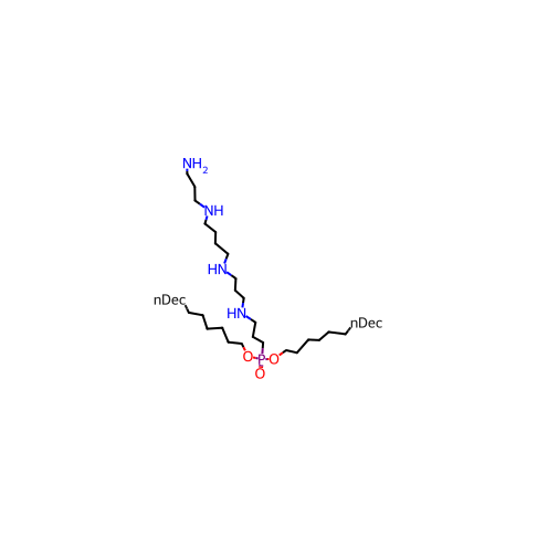 CCCCCCCCCCCCCCCCOP(=O)(CCCNCCCNCCCCNCCCN)OCCCCCCCCCCCCCCCC